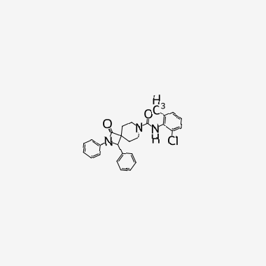 Cc1cccc(Cl)c1NC(=O)N1CCC2(CC1)C(=O)N(c1ccccc1)C2c1ccccc1